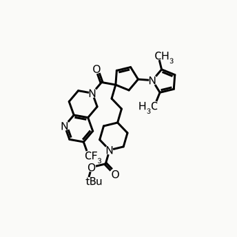 Cc1ccc(C)n1C1C=CC(CCC2CCN(C(=O)OC(C)(C)C)CC2)(C(=O)N2CCc3ncc(C(F)(F)F)cc3C2)C1